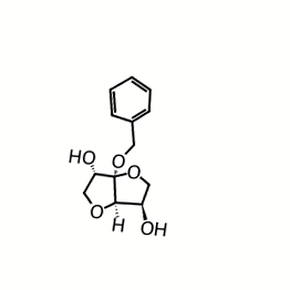 O[C@@H]1CO[C@@]2(OCc3ccccc3)[C@@H]1OC[C@@H]2O